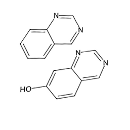 Oc1ccc2cncnc2c1.c1ccc2ncncc2c1